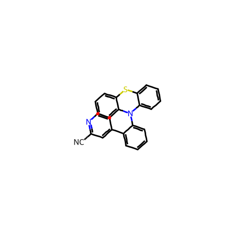 N#Cc1cc(-c2ccccc2N2c3ccccc3Sc3ccccc32)ccn1